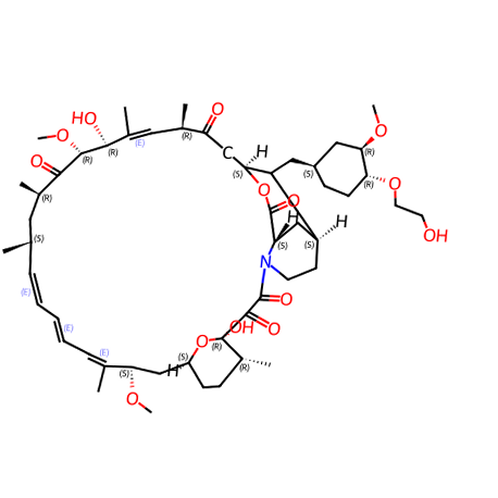 CO[C@H]1C[C@@H]2CC[C@@H](C)[C@@](O)(O2)C(=O)C(=O)N2CC[C@H]3C[C@H]2C(=O)O[C@@H](CC(=O)[C@H](C)/C=C(\C)[C@@H](O)[C@@H](OC)C(=O)[C@H](C)C[C@H](C)/C=C/C=C/C=C/1C)C3C[C@@H]1CC[C@@H](OCCO)[C@H](OC)C1